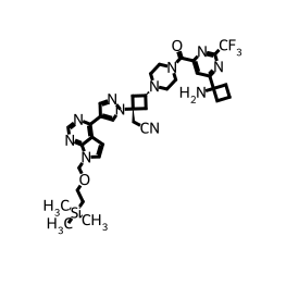 C[Si](C)(C)CCOCn1ccc2c(-c3cnn([C@]4(CC#N)C[C@H](N5CCN(C(=O)c6cc(C7(N)CCC7)nc(C(F)(F)F)n6)CC5)C4)c3)ncnc21